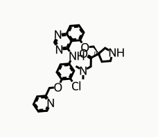 CN(C)CC(=O)[C@@]1(COc2cccc3ncnc(Nc4ccc(OCc5ccccn5)c(Cl)c4)c23)CCNC1